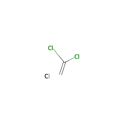 C=C(Cl)Cl.[C]